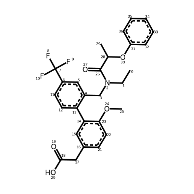 CCN(Cc1cc(C(F)(F)F)ccc1-c1cc(CC(=O)O)ccc1OC)C(=O)C(C)Oc1ccccc1